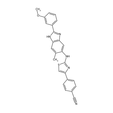 COc1cccc(-c2nc3cc(Nc4nc(-c5ccc(C#N)cc5)cs4)c(C)cc3[nH]2)c1